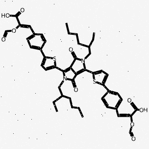 CCCCC(CC)CN1C(=O)C2=C(c3ccc(-c4ccc(/C=C(/OC=O)C(=O)O)cc4)s3)N(CC(CC)CCCC)C(=O)C2=C1c1ccc(-c2ccc(/C=C(\OC=O)C(=O)O)cc2)s1